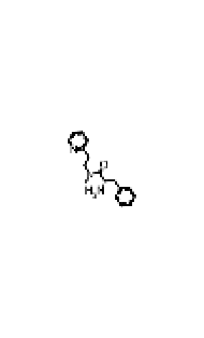 CN(CCc1ccccn1)C(=O)[C@@H](N)Cc1ccccc1